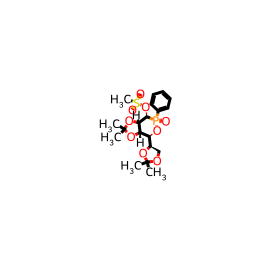 CC1(C)O[C@H]2[C@@H]([C@H]3COC(C)(C)O3)OP(=O)(c3ccccc3)[C@@H](OS(C)(=O)=O)[C@H]2O1